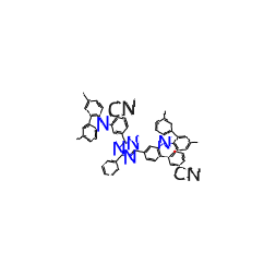 Cc1ccc2c(c1)c1cc(C)ccc1n2-c1cc(-c2nc(-c3ccccc3)nc(-c3ccc(-c4cccc(C#N)c4)c(-n4c5ccc(C)cc5c5cc(C)ccc54)c3)n2)ccc1C#N